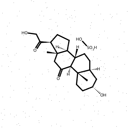 C[C@]12CC[C@@H](O)C[C@@H]1CC[C@H]1[C@@H]3CC[C@H](C(=O)CO)[C@@]3(C)CC(=O)[C@@H]12.O=S(=O)(O)O